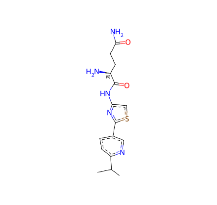 CC(C)c1ccc(-c2nc(NC(=O)[C@@H](N)CCC(N)=O)cs2)cn1